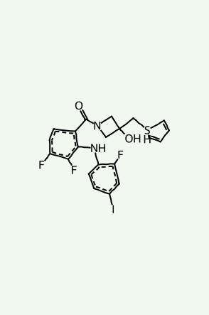 O=C(c1ccc(F)c(F)c1Nc1ccc(I)cc1F)N1CC(O)(C[SH]2C=CC=C2)C1